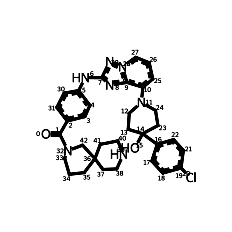 O=C(c1ccc(Nc2nc3c(N4CCC(O)(c5ccc(Cl)cc5)CC4)cccn3n2)cc1)N1CCCC2(CCNCC2)C1